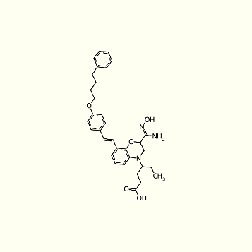 CCC(CCC(=O)O)N1CC(C(N)=NO)Oc2c(C=Cc3ccc(OCCCCc4ccccc4)cc3)cccc21